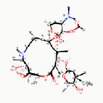 CCC(=O)O[C@H]1[C@H](O[C@@H]2[C@@H](C)[C@H](O[C@H]3C[C@@](C)(OC)[C@@H](O)[C@H](C)O3)[C@@H](C)C(=O)O[C@H](CC)[C@@](C)(O)[C@H](O)[C@@H](C)N(C)C[C@H](C)C[C@@]2(C)O)O[C@H](C)C[C@H]1N(C)C